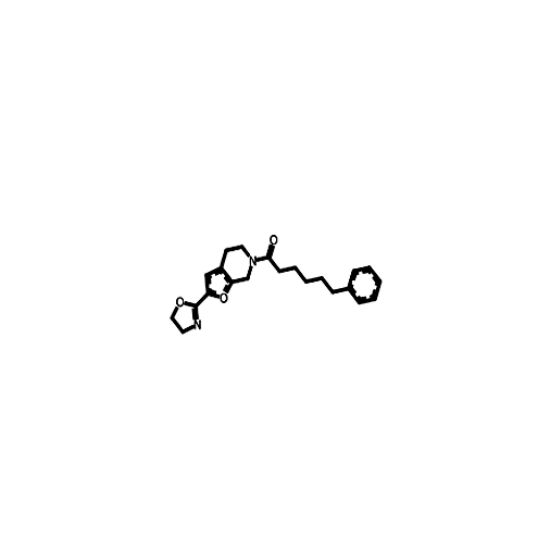 O=C(CCCCCc1ccccc1)N1CCc2cc(C3=NCCO3)oc2C1